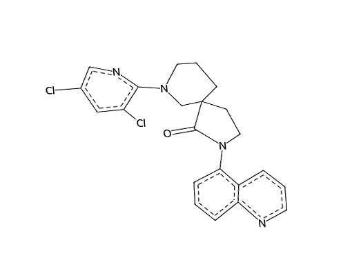 O=C1N(c2cccc3ncccc23)CCC12CCCN(c1ncc(Cl)cc1Cl)C2